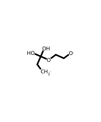 [CH2]CC(O)(O)OCC[O]